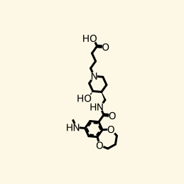 CNc1cc2c(c(C(=O)NC[C@@H]3CCN(CCCC(=O)O)C[C@H]3O)c1)OCCCO2